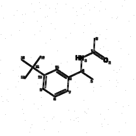 CC(=O)NC(C)c1cccc(C(C)(C)C)c1